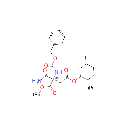 CC1CCC(C(C)C)C(OC(=O)C[C@@](NC(=O)OCc2ccccc2)(C(N)=O)C(=O)OC(C)(C)C)C1